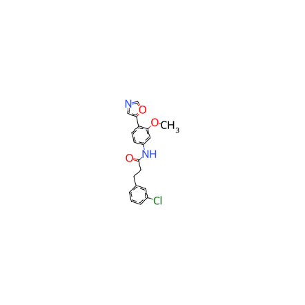 COc1cc(NC(=O)CCc2cccc(Cl)c2)ccc1-c1cnco1